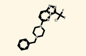 FC(F)(Cl)c1nnc2ccc(N3CCN(Cc4ccccc4)CC3)nn12